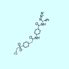 CC(C)[C@H](N=[N+]=[N-])NC(=O)c1ccc(NC(=O)Cc2ccc(S(=O)(=O)CC3CC3)cc2)cc1